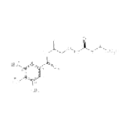 CC(COOC(=O)CCC(=O)O)OC(=O)c1cc(C(C)(C)C)c(O)c(C(C)(C)C)c1